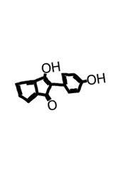 O=C1C(c2ccc(O)cc2)=C(O)c2ccccc21